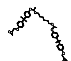 CC(OCCCCCCOC(C)Oc1ccc(C(C)(C)c2ccc(OCC3CO3)cc2)cc1)Oc1ccc(C(C)(C)c2ccc(OCC3CO3)cc2)cc1